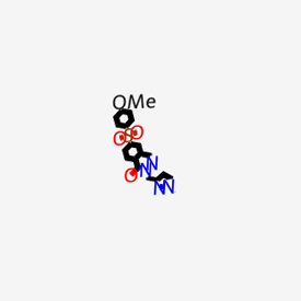 COc1ccc(S(=O)(=O)c2ccc3c(=O)n(Cc4ccn(C)n4)ncc3c2)cc1